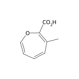 CC1=C(C(=O)O)OC=CC=C1